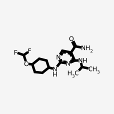 CC(C)Nc1nc(NC2CCC(OC(F)F)CC2)ncc1C(N)=O